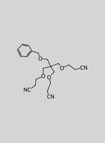 N#CCCOCC(COCCC#N)(COCCC#N)COCc1ccccc1